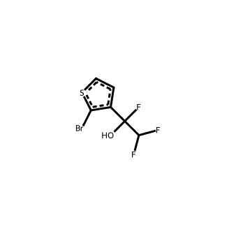 OC(F)(c1ccsc1Br)C(F)F